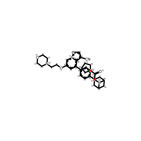 N#Cc1cnn2cc(OCCN3CCOCC3)cc(-c3ccc(N4CC5CC(C4)N5CC(=O)N4CCCC4)nc3)c12